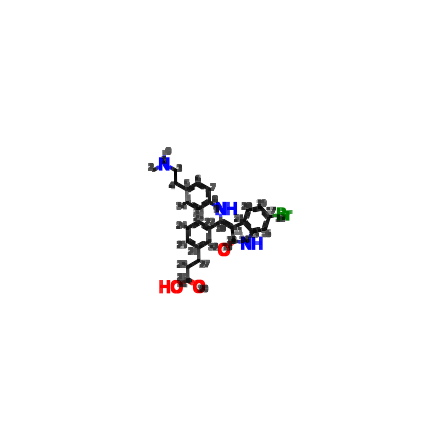 CN(C)CCc1ccc(NC(=C2C(=O)Nc3cc(Br)ccc32)c2cccc(CCC(=O)O)c2)cc1